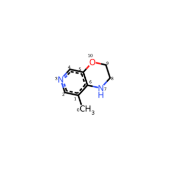 Cc1cncc2c1NCCO2